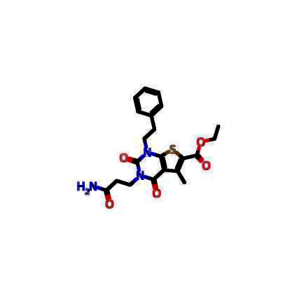 CCOC(=O)c1sc2c(c1C)c(=O)n(CCC(N)=O)c(=O)n2CCc1ccccc1